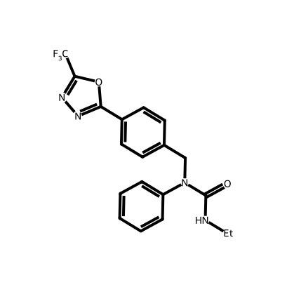 CCNC(=O)N(Cc1ccc(-c2nnc(C(F)(F)F)o2)cc1)c1ccccc1